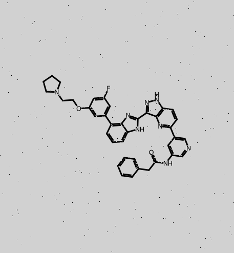 O=C(Cc1ccccc1)Nc1cncc(-c2ccc3[nH]nc(-c4nc5c(-c6cc(F)cc(OCCN7CCCC7)c6)cccc5[nH]4)c3n2)c1